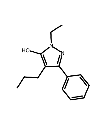 CCCc1c(-c2ccccc2)nn(CC)c1O